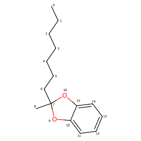 CCCCCCCC1(C)Oc2ccccc2O1